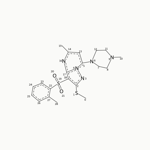 CSc1nn2c(N3CCN(C)CC3)cc(C)nc2c1S(=O)(=O)c1ccccc1C